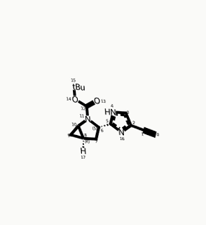 C#Cc1c[nH]c([C@@H]2C[C@H]3CC3N2C(=O)OC(C)(C)C)n1